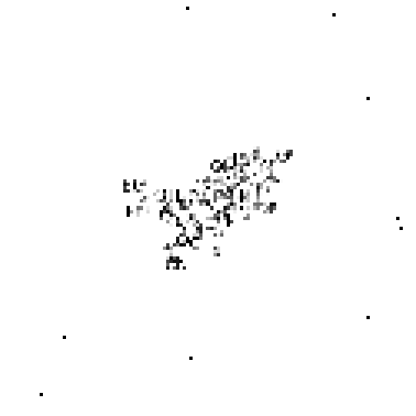 CCC(CC)OC(=O)O[C@@]1(C(=O)OCC#N)[C@H](C)C[C@H]2[C@@H]3C[C@H](F)C4=CC(=O)C=C[C@]4(C)C3(F)[C@@H](O)C[C@@]21C